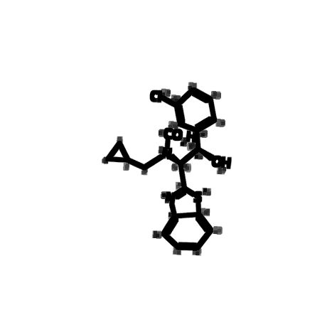 O=C(O)N(CC1CC1)[C@H](c1nc2ccccc2s1)[C@H](O)c1cccc(Cl)c1